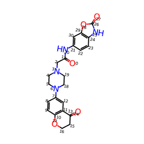 O=C(CN1CCN(c2ccc3c(c2)C(=O)CCO3)CC1)Nc1ccc2[nH]c(=O)oc2c1